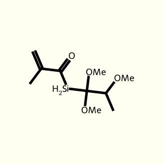 C=C(C)C(=O)[SiH2]C(OC)(OC)C(C)OC